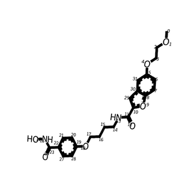 COCCOc1ccc2oc(C(=O)NCCCCOc3ccc(C(=O)NO)cc3)cc2c1